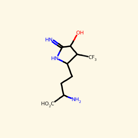 N=C1NC(CCC(N)C(=O)O)C(C(F)(F)F)C1O